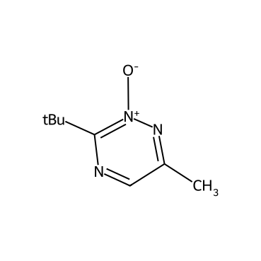 Cc1cnc(C(C)(C)C)[n+]([O-])n1